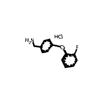 Cl.NCc1ccc(Oc2ccccc2F)cc1